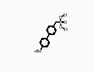 CCCCc1ccc(-c2ccc(CP(=O)(OCC)OCC)cc2)cc1